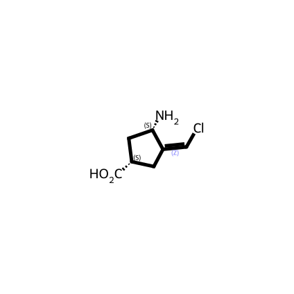 N[C@H]1C[C@@H](C(=O)O)C/C1=C/Cl